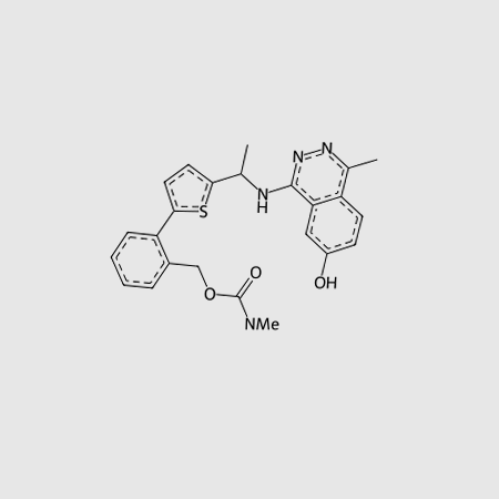 CNC(=O)OCc1ccccc1-c1ccc(C(C)Nc2nnc(C)c3ccc(O)cc23)s1